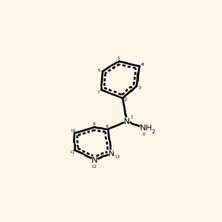 NN(c1ccccc1)c1cccnn1